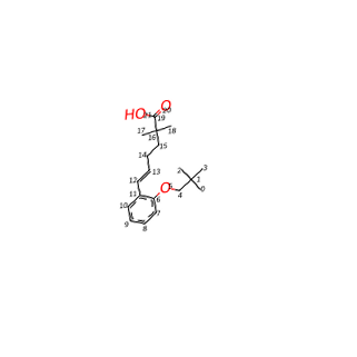 CC(C)(C)COc1ccccc1/C=C/CCC(C)(C)C(=O)O